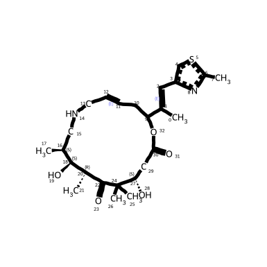 C/C(=C\c1csc(C)n1)C1C/C=C/CNC[C@H](C)[C@H](O)[C@@H](C)C(=O)C(C)(C)[C@@H](O)CC(=O)O1